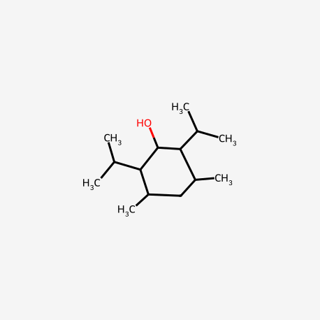 CC(C)C1C(C)CC(C)C(C(C)C)C1O